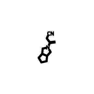 C=C(CC#N)N1CC2CCCC2C1